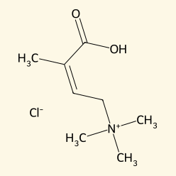 CC(=CC[N+](C)(C)C)C(=O)O.[Cl-]